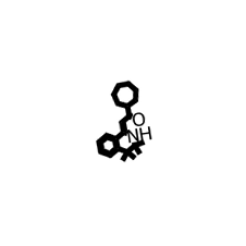 CC1(C)NC(=CC(=O)C2CCCCCC2)c2ccccc2C1(C)C